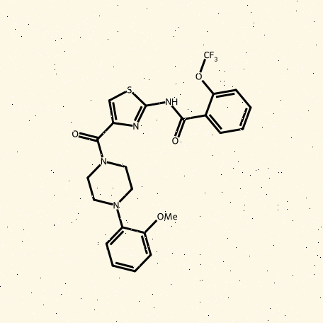 COc1ccccc1N1CCN(C(=O)c2csc(NC(=O)c3ccccc3OC(F)(F)F)n2)CC1